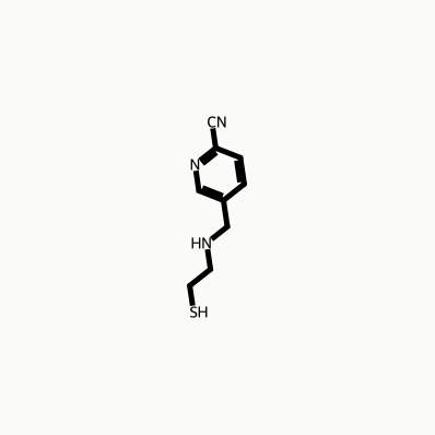 N#Cc1ccc(CNCCS)cn1